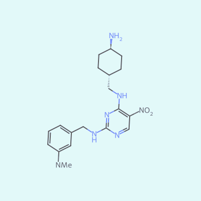 CNc1cccc(CNc2ncc([N+](=O)[O-])c(NC[C@H]3CC[C@H](N)CC3)n2)c1